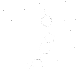 Cc1ccc(N2CCC3(CCN(C(=O)OC(C)(C)C)CC3)C2)cc1